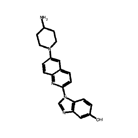 NC1CCN(c2ccc3nc(-n4cnc5cc(O)ccc54)ccc3c2)CC1